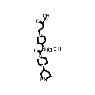 COC(=O)CCN1CCC(NC(=O)N2CCN(C3CCNCC3)CC2)CC1.Cl.Cl